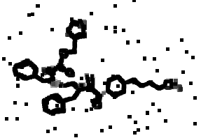 CCCCC[C@H]1CC[C@H](C(=O)N[C@H](CC[C@H](Cc2ccccc2)NC(=O)OCc2cncs2)Cc2ccccc2)CC1